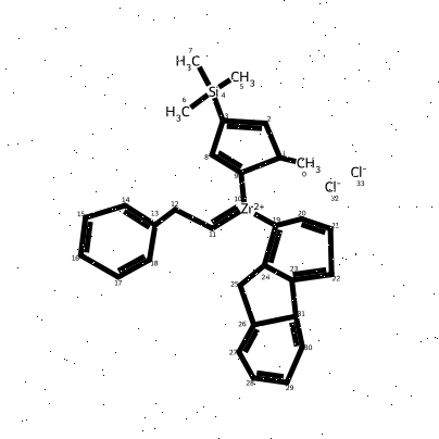 CC1C=C([Si](C)(C)C)C=[C]1[Zr+2](=[CH]Cc1ccccc1)[c]1cccc2c1Cc1ccccc1-2.[Cl-].[Cl-]